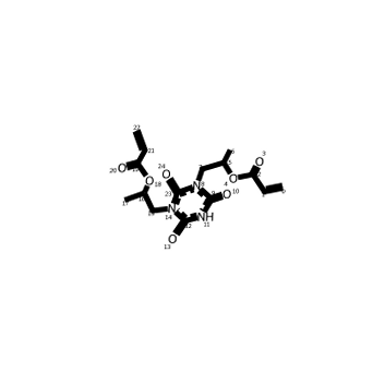 C=CC(=O)OC(C)Cn1c(=O)[nH]c(=O)n(CC(C)OC(=O)C=C)c1=O